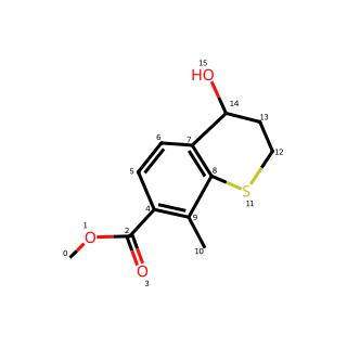 COC(=O)c1ccc2c(c1C)SCCC2O